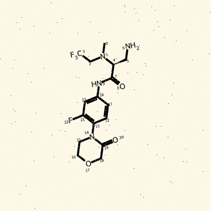 CN(CC(F)(F)F)[C@@H](CN)C(=O)Nc1ccc(N2CCOCC2=O)c(F)c1